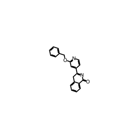 O=C1N=C(c2ccnc(OCc3ccccc3)c2)Cc2ccccc21